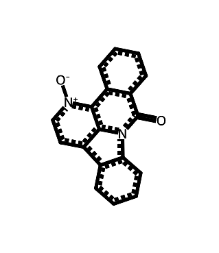 O=c1c2ccccc2c2c3c(cc[n+]2[O-])c2ccccc2n13